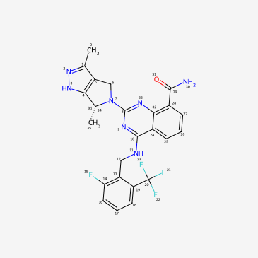 Cc1n[nH]c2c1CN(c1nc(NCc3c(F)cccc3C(F)(F)F)c3cccc(C(N)=O)c3n1)[C@@H]2C